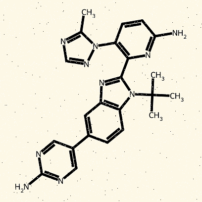 Cc1ncnn1-c1ccc(N)nc1-c1nc2cc(-c3cnc(N)nc3)ccc2n1C(C)(C)C